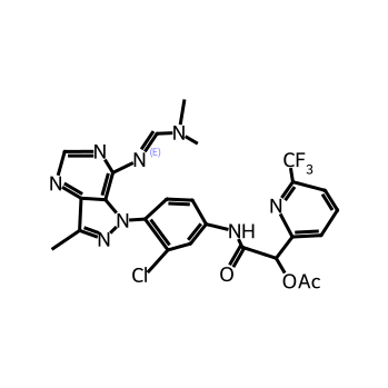 CC(=O)OC(C(=O)Nc1ccc(-n2nc(C)c3ncnc(/N=C/N(C)C)c32)c(Cl)c1)c1cccc(C(F)(F)F)n1